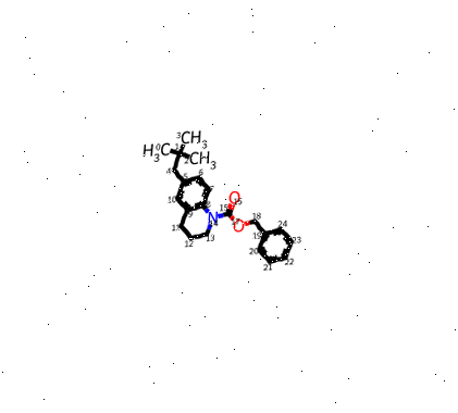 CC(C)(C)Cc1ccc2c(c1)CCCN2C(=O)OCc1ccccc1